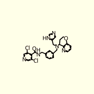 O=C(NCc1cccc(CN(Cc2cnc[nH]2)C2CCOc3cccnc32)c1)c1c(Cl)cncc1Cl